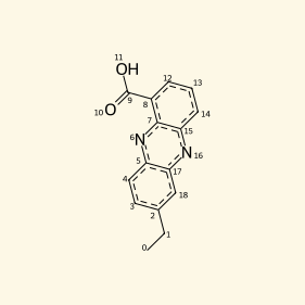 CCc1ccc2nc3c(C(=O)O)cccc3nc2c1